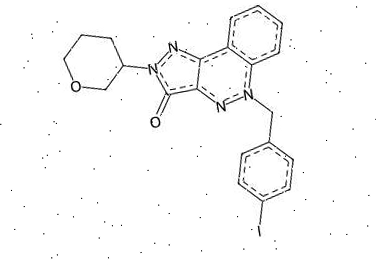 O=c1c2nn(Cc3ccc(I)cc3)c3ccccc3c-2nn1C1CCCOC1